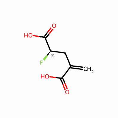 C=C(C[C@@H](F)C(=O)O)C(=O)O